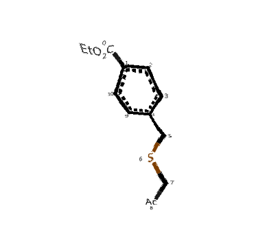 CCOC(=O)c1ccc(CSCC(C)=O)cc1